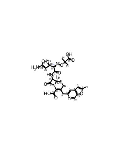 Cc1cc2cc(CC3=C(C(=O)O)N4C(=O)C(NC(=O)/C(=N\OC(C)(C)C(=O)O)c5cc(N)on5)[C@H]4SC3)ncc2o1